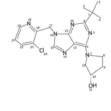 CC(C)(C)c1nc(N2CC[C@H](O)C2)c2ncn(Cc3ncccc3Cl)c2n1